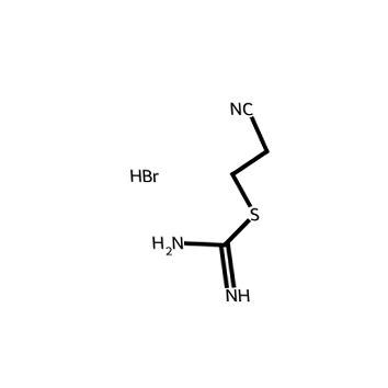 Br.N#CCCSC(=N)N